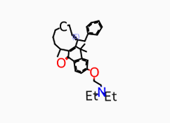 CCN(CC)CCOc1ccc2c(c1)C(C)(C)C1=C(C2=O)C(C)CCCCC/C=C/1Cc1ccccc1